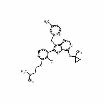 Cc1ccnc(Cn2c(-c3cccc(OCCN(C)C)c3Cl)nc3c(OC4(C)CC4)ncnc32)c1